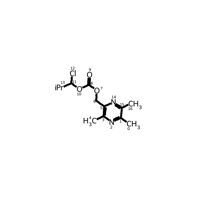 Cc1nc(C)c(COC(=O)OC(Cl)C(C)C)nc1C